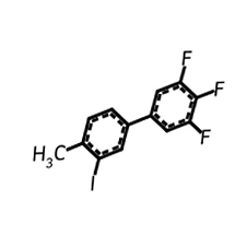 Cc1ccc(-c2cc(F)c(F)c(F)c2)cc1I